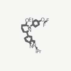 CCOC1=CC=CC(c2ccc3nn(CC(C)C)cc3c2)=NN1c1ccc(OC(F)F)cc1